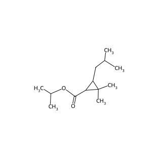 CC(C)CC1C(C(=O)OC(C)C)C1(C)C